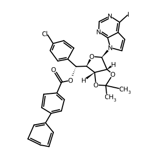 CC1(C)O[C@H]2[C@@H](O1)[C@H](n1ccc3c(I)ncnc31)O[C@@H]2[C@H](OC(=O)c1ccc(-c2ccccc2)cc1)c1ccc(Cl)cc1